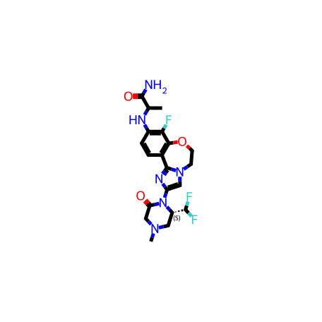 CC(Nc1ccc2c(c1F)OCCn1cc(N3C(=O)CN(C)C[C@H]3C(F)F)nc1-2)C(N)=O